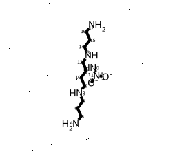 N=[N+]([O-])[O-].NCCCNCCCCNCCCN